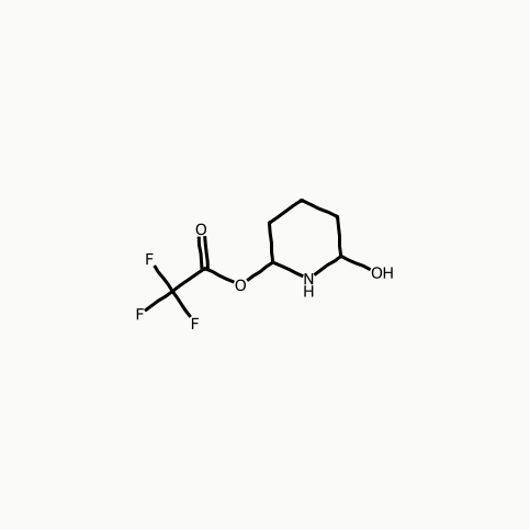 O=C(OC1CCCC(O)N1)C(F)(F)F